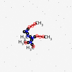 CCOCCOCCOc1ccc(-n2c3ccccc3c3cc(N(C)c4ccc5c(c4)c4cc(N(c6ccc(OC)cc6)c6ccc(OC)cc6)ccc4n5-c4ccc(OCCOCCOCC)cc4)ccc32)cc1